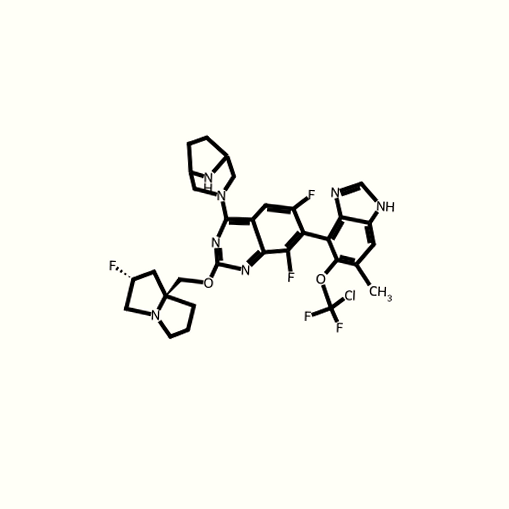 Cc1cc2[nH]cnc2c(-c2c(F)cc3c(N4CC5CCC(C4)N5)nc(OC[C@@]45CCCN4C[C@H](F)C5)nc3c2F)c1OC(F)(F)Cl